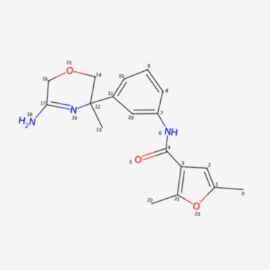 Cc1cc(C(=O)Nc2cccc(C3(C)COCC(N)=N3)c2)c(C)o1